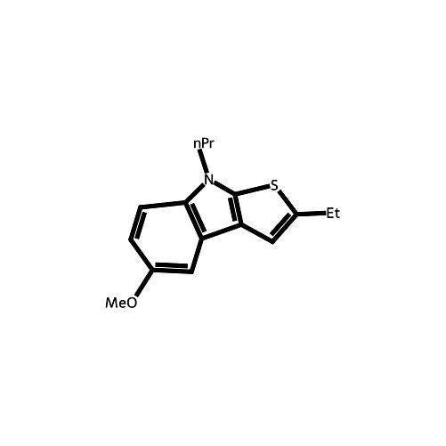 CCCn1c2ccc(OC)cc2c2cc(CC)sc21